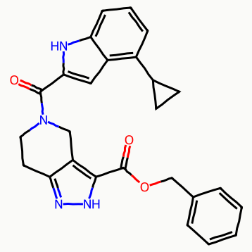 O=C(OCc1ccccc1)c1[nH]nc2c1CN(C(=O)c1cc3c(C4CC4)cccc3[nH]1)CC2